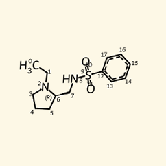 CCN1CCC[C@@H]1CNS(=O)(=O)c1ccccc1